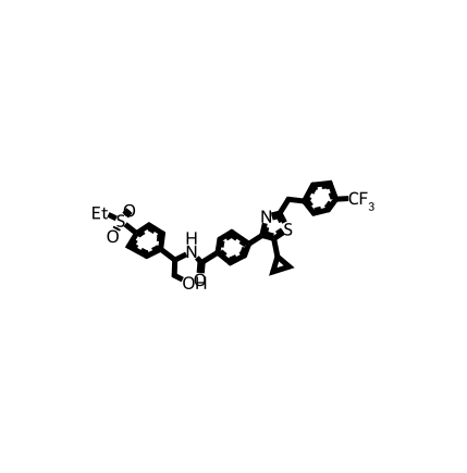 CCS(=O)(=O)c1ccc(C(CO)NC(=O)c2ccc(-c3nc(Cc4ccc(C(F)(F)F)cc4)sc3C3CC3)cc2)cc1